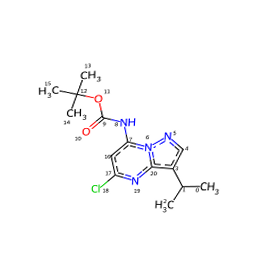 CC(C)c1cnn2c(NC(=O)OC(C)(C)C)cc(Cl)nc12